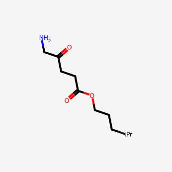 CC(C)CCCOC(=O)CCC(=O)CN